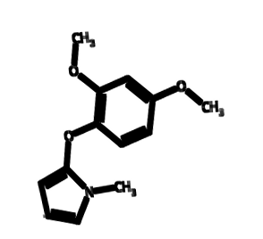 COc1ccc(Oc2c[c]cn2C)c(OC)c1